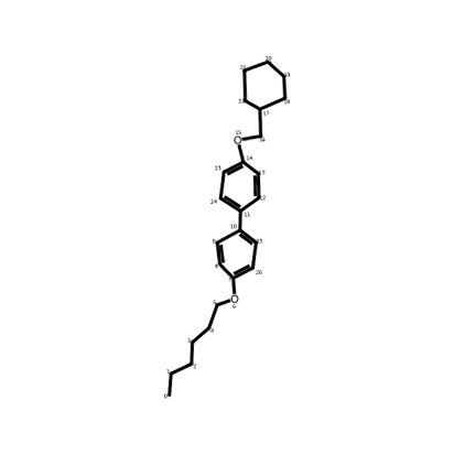 CCCCCCOc1ccc(-c2ccc(OCC3CC[CH]CC3)cc2)cc1